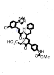 COC(=O)Nc1ccc(-c2cc(C(Cc3ccccc3)NC(=O)/C=C/c3cc(Cl)ccc3-n3cnnn3)nn(CC(=O)O)c2=O)cc1